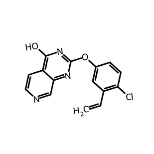 C=Cc1cc(Oc2nc(O)c3ccncc3n2)ccc1Cl